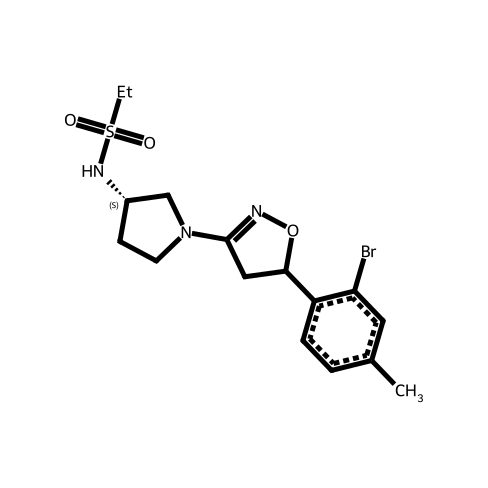 CCS(=O)(=O)N[C@H]1CCN(C2=NOC(c3ccc(C)cc3Br)C2)C1